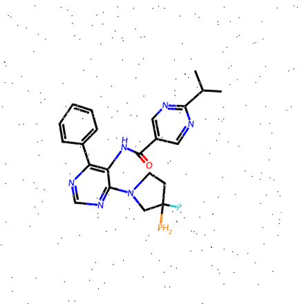 CC(C)c1ncc(C(=O)Nc2c(-c3ccccc3)ncnc2N2CCC(F)(P)C2)cn1